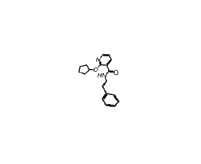 O=C(NCCc1ccccc1)c1cccnc1OC1CCCC1